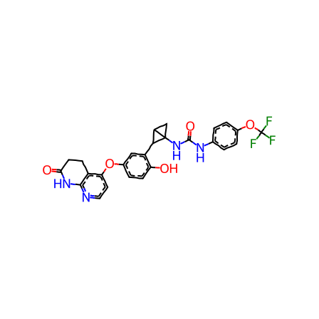 O=C1CCc2c(Oc3ccc(O)c(C4C5CC54NC(=O)Nc4ccc(OC(F)(F)F)cc4)c3)ccnc2N1